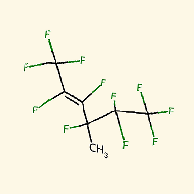 CC(F)(C(F)=C(F)C(F)(F)F)C(F)(F)C(F)(F)F